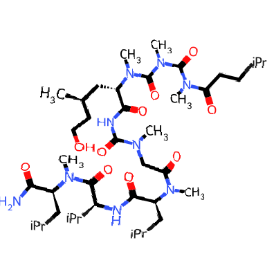 CC(C)CCC(=O)N(C)C(=O)N(C)C(=O)N(C)[C@@H](C[C@H](C)CCO)C(=O)NC(=O)N(C)CC(=O)N(C)[C@@H](CC(C)C)C(=O)N[C@H](C(=O)N(C)[C@@H](CC(C)C)C(N)=O)C(C)C